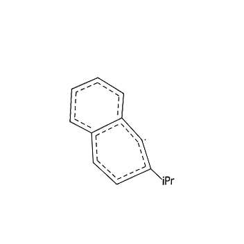 CC(C)c1[c]c2ccccc2cc1